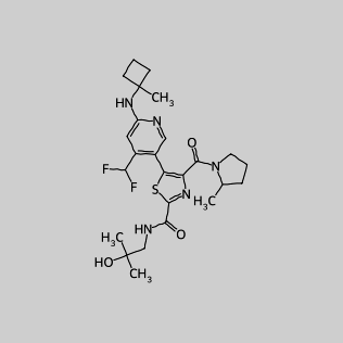 CC1CCCN1C(=O)c1nc(C(=O)NCC(C)(C)O)sc1-c1cnc(NC2(C)CCC2)cc1C(F)F